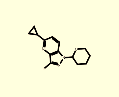 Ic1nn(C2CCCCO2)c2ccc(C3CC3)nc12